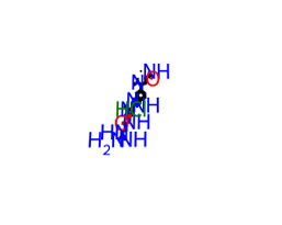 CN(C)C(CCC([NH])=O)c1ccc2[nH]c(-c3cc(NC(=O)CNC(=N)N)cn3C)nc2c1.Cl